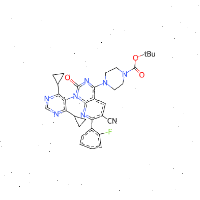 CC(C)(C)OC(=O)N1CCN(c2nc(=O)n(-c3c(C4CC4)ncnc3C3CC3)c3nc(-c4ccccc4F)c(C#N)cc23)CC1